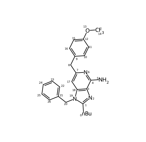 CCCCc1nc2c(N)nc(Cc3ccc(OC(F)(F)F)cc3)cc2n1Cc1ccccc1